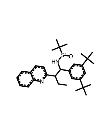 CCC(c1ccc2ccccc2n1)C(N[S+]([O-])C(C)(C)C)c1cc(C(C)(C)C)cc(C(C)(C)C)c1